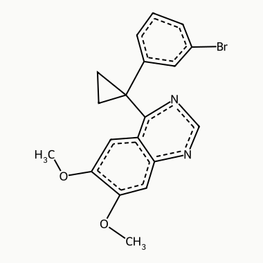 COc1cc2ncnc(C3(c4cccc(Br)c4)CC3)c2cc1OC